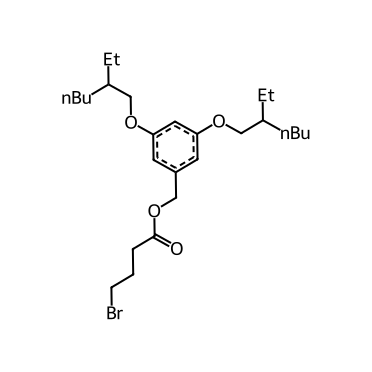 CCCCC(CC)COc1cc(COC(=O)CCCBr)cc(OCC(CC)CCCC)c1